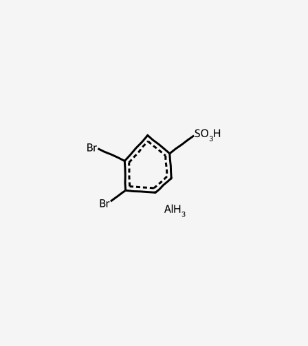 O=S(=O)(O)c1ccc(Br)c(Br)c1.[AlH3]